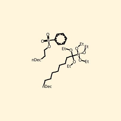 CCCCCCCCCCCCCCCCCC(OCC)(OCC)[N+](OCC)(OCC)OCC.CCCCCCCCCCCCOS(=O)(=O)c1ccccc1